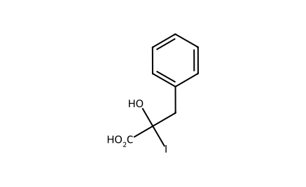 O=C(O)C(O)(I)Cc1ccccc1